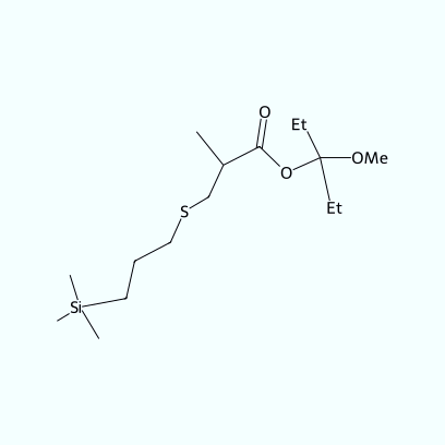 CCC(CC)(OC)OC(=O)C(C)CSCCC[Si](C)(C)C